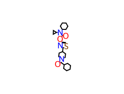 O=C(C1CCCCC1)N1CCC(c2nc(OC(=O)N(C3CCCCC3)C3CC3)cs2)CC1